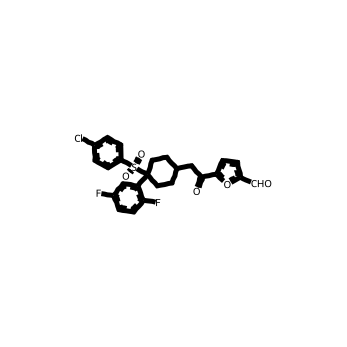 O=Cc1ccc(C(=O)CC2CCC(c3cc(F)ccc3F)(S(=O)(=O)c3ccc(Cl)cc3)CC2)o1